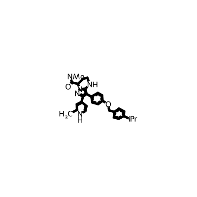 CNC(=O)C1CCNc2c(-c3ccc(OCc4ccc(C(C)C)cc4)cc3)c(C3=CC(C)NC=C3)nn21